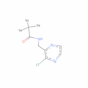 [2H]C([2H])([2H])C(=O)NCc1nccnc1Cl